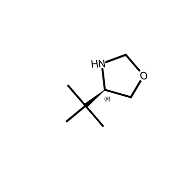 CC(C)(C)[C@@H]1COCN1